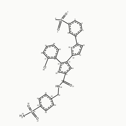 CS(=O)(=O)c1cccc(-c2ccc(-c3cc(C(=O)NCc4ccc(S(N)(=O)=O)cc4)nn3-c3ccccc3Cl)s2)c1